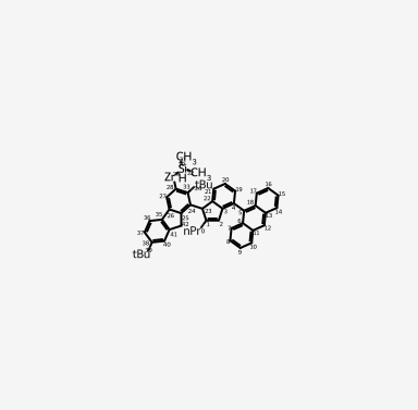 CCCC1=Cc2c(-c3c4ccccc4cc4ccccc34)cccc2C1c1c2c(c[c]([Zr][SiH](C)C)c1C(C)(C)C)-c1ccc(C(C)(C)C)cc1C2